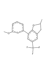 COc1cccc(-c2cc(C(F)(F)F)cc3c2OC(C)C3)c1